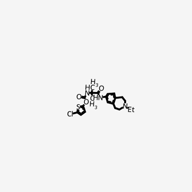 CCN1CCc2ccc(NC(=O)C(C)(C)NC(=O)Oc3ccc(Cl)s3)cc2CC1